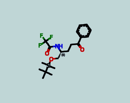 CC(C)(C)[Si](C)(C)OC[C@@H](CCC(=O)c1ccccc1)NC(=O)C(F)(F)F